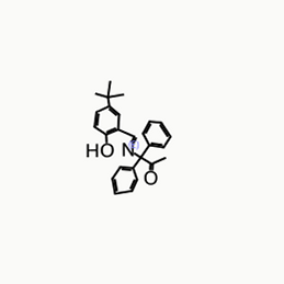 CC(=O)C(/N=C/c1cc(C(C)(C)C)ccc1O)(c1ccccc1)c1ccccc1